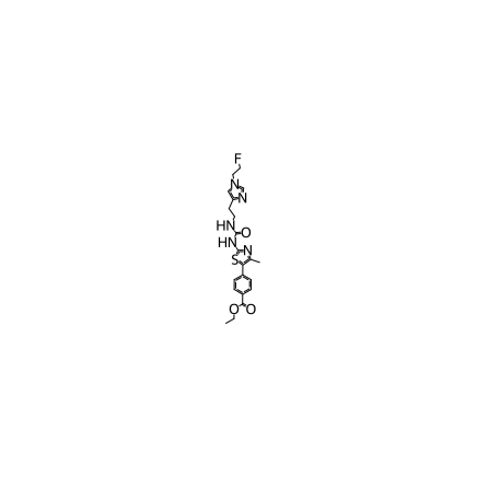 CCOC(=O)c1ccc(-c2sc(NC(=O)NCCc3cn(CCF)cn3)nc2C)cc1